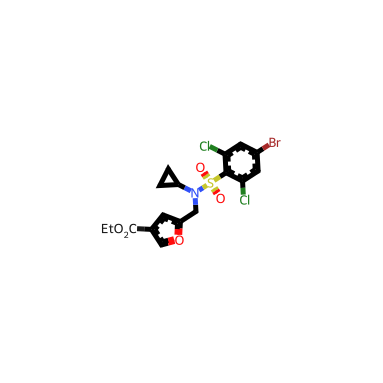 CCOC(=O)c1coc(CN(C2CC2)S(=O)(=O)c2c(Cl)cc(Br)cc2Cl)c1